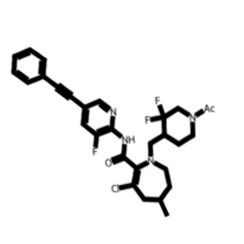 CC(=O)N1CCC(CN2CCC(C)CC(Cl)=C2C(=O)Nc2ncc(C#Cc3ccccc3)cc2F)C(F)(F)C1